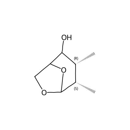 C[C@@H]1C2OCC(O2)C(O)[C@@H]1C